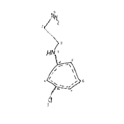 NCCNc1cccc(Cl)c1